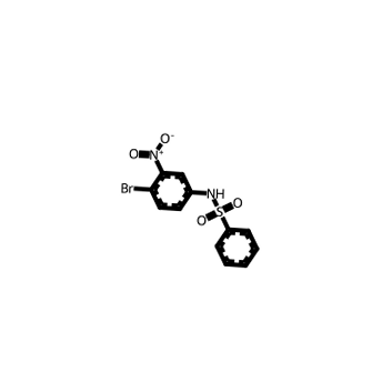 O=[N+]([O-])c1cc(NS(=O)(=O)c2ccccc2)ccc1Br